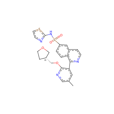 Cc1cnc(OC[C@@H]2CCOC2)c(-c2nccc3cc(S(=O)(=O)Nc4nccs4)ccc23)c1